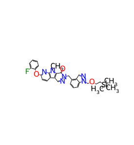 Cn1c2nc(Oc3ccccc3F)ccc2c2cnn(Cc3cccc4c3cnn4COCC[Si](C)(C)C)c(=O)c21